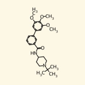 COc1cc(-c2cccc(C(=O)NC3CCN(C(C)(C)C)CC3)c2)cc(OC)c1OC